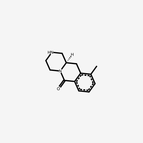 Cc1cccc2c1C[C@@H]1CNCCN1C2=O